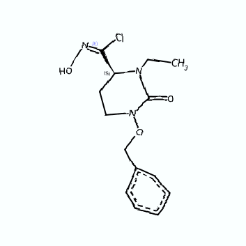 CCN1C(=O)N(OCc2ccccc2)CC[C@H]1/C(Cl)=N\O